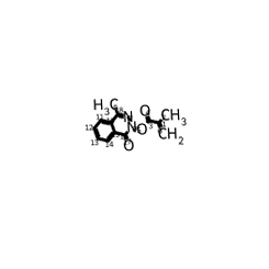 C=C(C)C(=O)On1nc(C)c2ccccc2c1=O